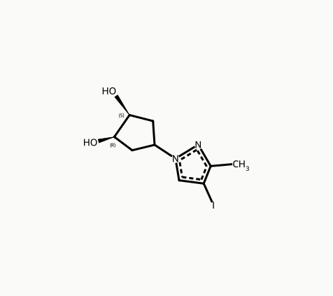 Cc1nn(C2C[C@@H](O)[C@@H](O)C2)cc1I